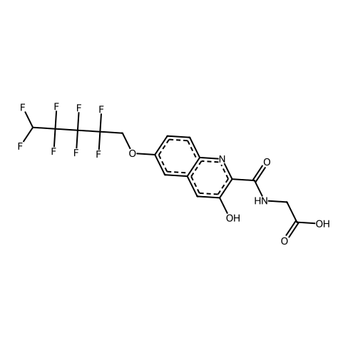 O=C(O)CNC(=O)c1nc2ccc(OCC(F)(F)C(F)(F)C(F)(F)C(F)F)cc2cc1O